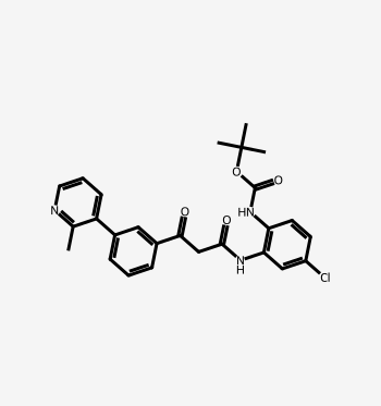 Cc1ncccc1-c1cccc(C(=O)CC(=O)Nc2cc(Cl)ccc2NC(=O)OC(C)(C)C)c1